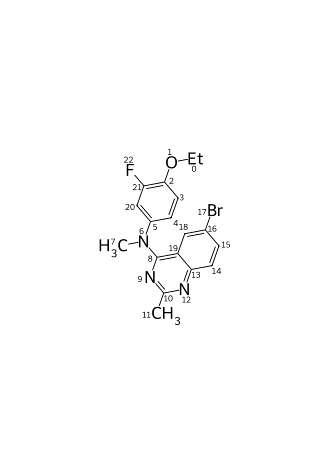 CCOc1ccc(N(C)c2nc(C)nc3ccc(Br)cc23)cc1F